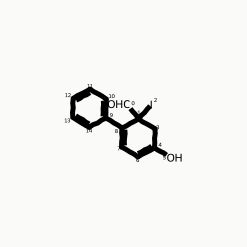 O=CC1(I)CC(O)=CC=C1c1ccccc1